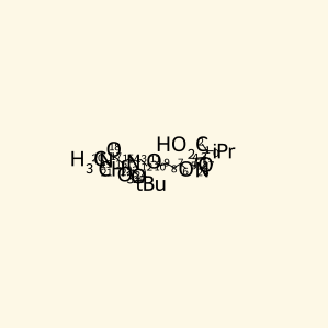 CC(C)C(C(=O)O)c1cc(OCCCCOCCN(CCC(=O)N(C)C)C(=O)OC(C)(C)C)no1